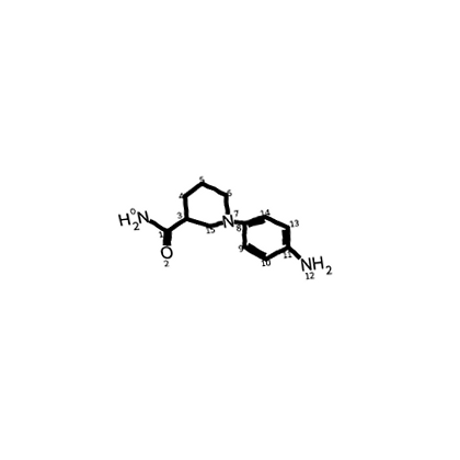 NC(=O)C1CCCN(c2ccc(N)cc2)C1